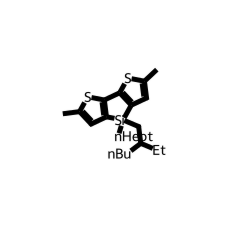 CCCCCCC[Si]1(CC(CC)CCCC)c2cc(C)sc2-c2sc(C)cc21